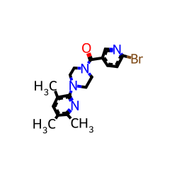 Cc1cc(C)c(N2CCN(C(=O)c3ccc(Br)nc3)CC2)nc1C